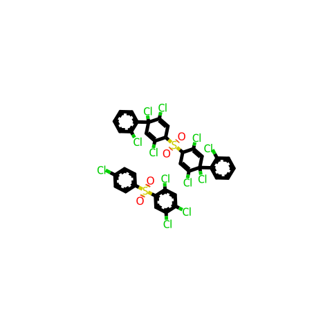 O=S(=O)(C1C=C(Cl)C(Cl)(c2ccccc2Cl)C=C1Cl)C1C=C(Cl)C(Cl)(c2ccccc2Cl)C=C1Cl.O=S(=O)(c1ccc(Cl)cc1)c1cc(Cl)c(Cl)cc1Cl